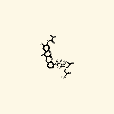 Cc1c(Cc2cccc(S(=O)(=O)N(C)S(=O)(=O)N(CC(N)=O)CC(N)=O)c2)c(=O)oc2cc(OC(=O)N(C)C)c(Cl)cc12